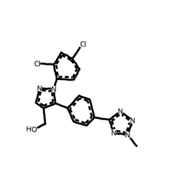 Cn1nnc(-c2ccc(-c3c(CO)cnn3-c3ccc(Cl)cc3Cl)cc2)n1